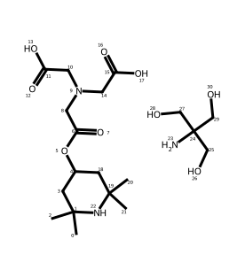 CC1(C)CC(OC(=O)CN(CC(=O)O)CC(=O)O)CC(C)(C)N1.NC(CO)(CO)CO